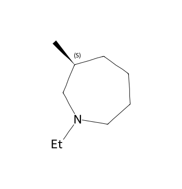 CCN1CCCC[C@H](C)C1